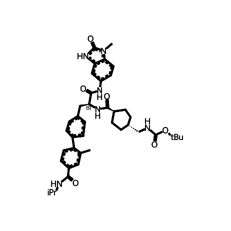 Cc1cc(C(=O)NC(C)C)ccc1-c1ccc(C[C@H](NC(=O)[C@H]2CC[C@H](CNC(=O)OC(C)(C)C)CC2)C(=O)Nc2ccc3c(c2)[nH]c(=O)n3C)cc1